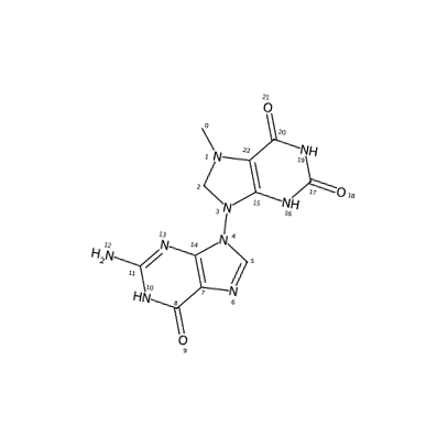 CN1CN(n2cnc3c(=O)[nH]c(N)nc32)c2[nH]c(=O)[nH]c(=O)c21